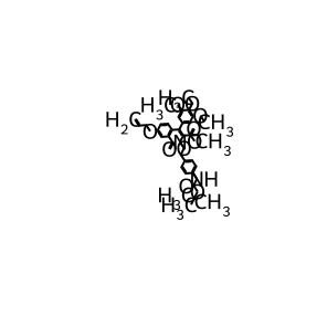 C=CCOc1ccc2c(-c3cc(OC)c(OC)c(OC)c3)c(C(=O)OC)n(OCc3ccc(NC(=O)OC(C)(C)C)cc3)c(=O)c2c1